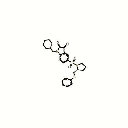 O=C1C(=O)N(CC2CCCCC2)c2ccc(S(=O)(=O)N3CCC[C@H]3COc3ccccc3)cc21